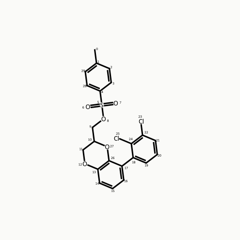 Cc1ccc(S(=O)(=O)OCC2COc3cccc(-c4cccc(Cl)c4Cl)c3O2)cc1